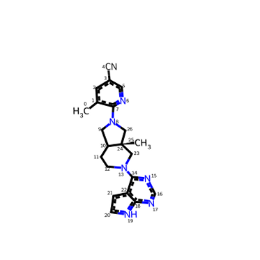 Cc1cc(C#N)cnc1N1CC2CCN(c3ncnc4[nH]ccc34)C[C@@]2(C)C1